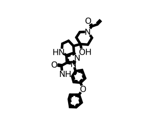 C=CC(=O)N1CCC(O)(C2CCNc3c2nn(-c2ccc(Oc4ccccc4)cc2)c3C(N)=O)CC1